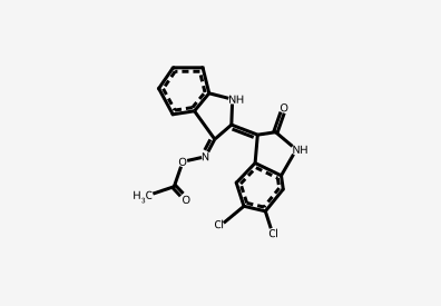 CC(=O)O/N=C1/C(=C2/C(=O)Nc3cc(Cl)c(Cl)cc32)Nc2ccccc21